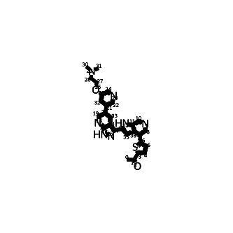 CC(=O)c1ccc(-c2cncc3[nH]c(-c4n[nH]c5ncc(-c6cncc(OCCN(C)C)c6)cc45)cc23)s1